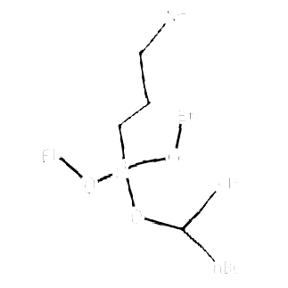 CCCCC(C)O[Si](CCCN)(OCC)OCC